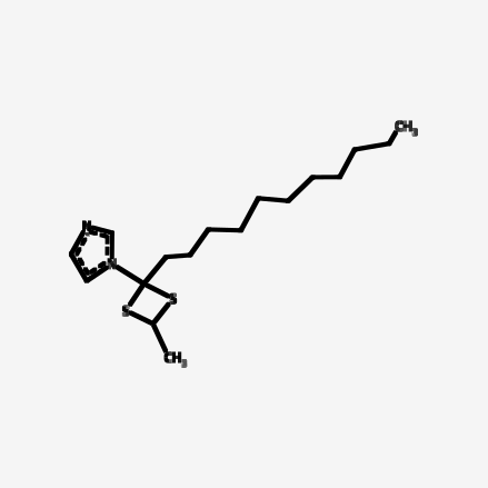 CCCCCCCCCCCC1(n2ccnc2)SC(C)S1